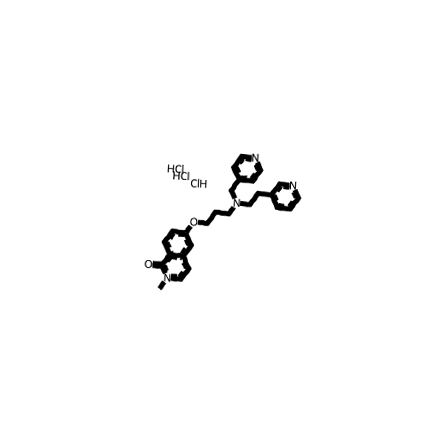 Cl.Cl.Cl.Cn1ccc2cc(OCCCN(CCc3cccnc3)Cc3ccncc3)ccc2c1=O